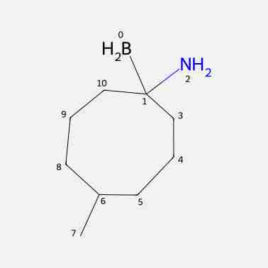 BC1(N)CCCC(C)CCC1